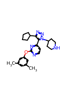 Cc1cc(C)cc(Oc2nccc(-c3c(C4CCCC4)nnn3C3CCNCC3)n2)c1